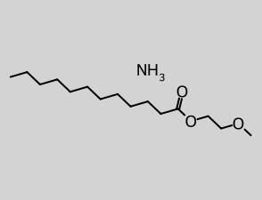 CCCCCCCCCCCC(=O)OCCOC.N